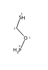 POCS